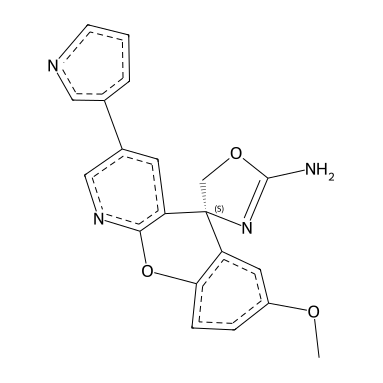 COc1ccc2c(c1)[C@@]1(COC(N)=N1)c1cc(-c3cccnc3)cnc1O2